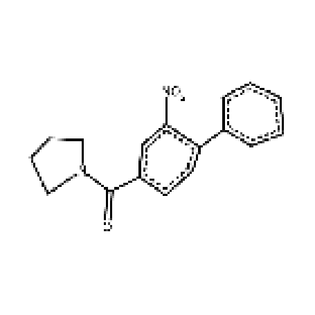 O=C(c1ccc(-c2ccccc2)c([N+](=O)[O-])c1)N1CCCC1